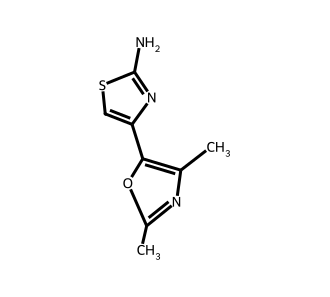 Cc1nc(C)c(-c2csc(N)n2)o1